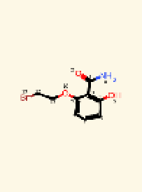 NC(=O)c1c(O)cccc1OCCBr